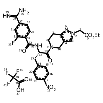 CCOC(=O)Cn1cc2c(n1)CCN(C(=O)[C@H](Cc1ccc([N+](=O)[O-])cc1)NC(=O)c1ccc(C(=N)N)cc1F)C2.O=C(O)C(F)(F)F